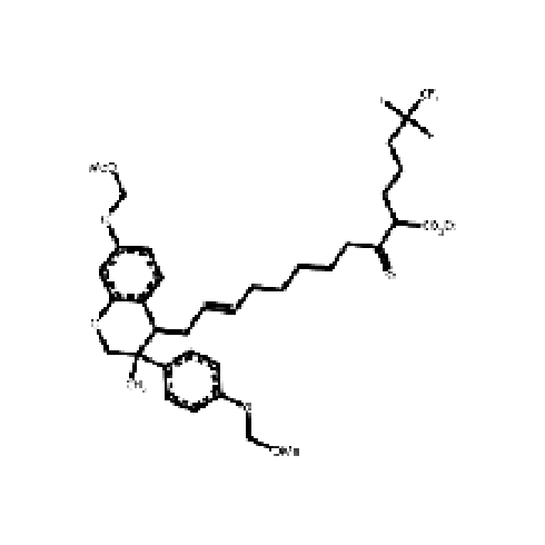 CCOC(=O)C(CCCC(F)(F)C(F)(F)F)C(=O)CCCCCC=CCC1c2ccc(OCOC)cc2OCC1(C)c1ccc(OCOC)cc1